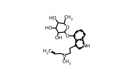 C=CCN(C)CCc1c[nH]c2cccc(OC3OC(C)C(O)C(O)C3O)c12